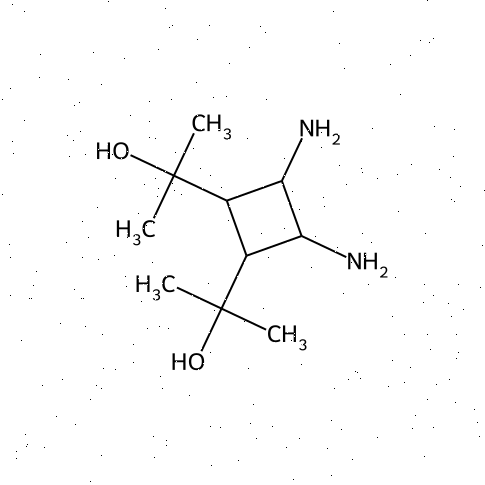 CC(C)(O)C1C(N)C(N)C1C(C)(C)O